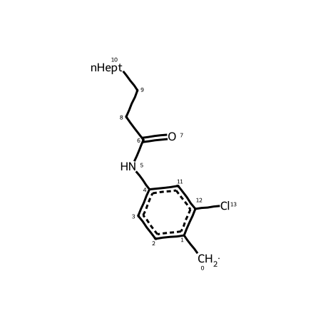 [CH2]c1ccc(NC(=O)CCCCCCCCC)cc1Cl